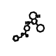 O=C(OCc1ccccc1)C1CCC(NC2=CC(C3CCCCCCC3)=CC3NCCCCCC23)CC1